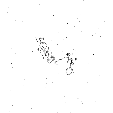 CC[C@]1(O)CC[C@@]2(C)[C@@H](CC[C@@H]3[C@@H]2CC[C@]2(C)[C@@H]([C@H](C)CCC[C@@](O)(OC(=O)c4ccccc4)C(F)(F)F)CC[C@@H]32)C1